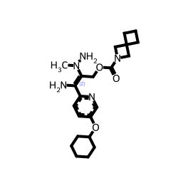 CN(N)/C(COC(=O)N1CC2(CCC2)C1)=C(\N)c1ccc(OC2CCCCC2)cn1